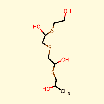 CC(O)CSC(O)CSCC(O)SCCO